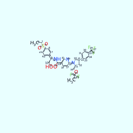 CCS(=O)(=O)c1ccc([C@H](CO)NC(=O)c2ccc(N3CC(c4ccc(C(F)(F)F)cc4)C[C@H]3COC(C)(F)F)nc2)cc1